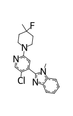 Cn1c(-c2cc(N3CCC(C)(F)CC3)ncc2Cl)nc2ccccc21